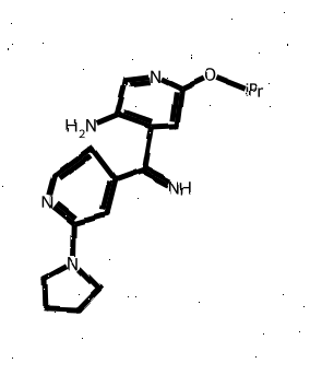 CC(C)Oc1cc(C(=N)c2ccnc(N3CCCC3)c2)c(N)cn1